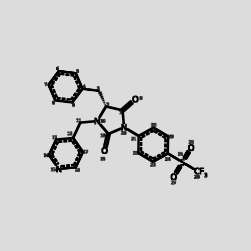 O=C1[C@@H](Cc2ccccc2)N(Cc2ccncc2)C(=O)N1c1ccc(S(=O)(=O)C(F)(F)F)cc1